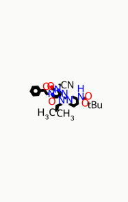 CC(C)=CCn1c(N2CCCC(NC(=O)OC(C)(C)C)C2)nc2c1c(=O)n(CC(=O)c1ccccc1)c(=O)n2CC#N